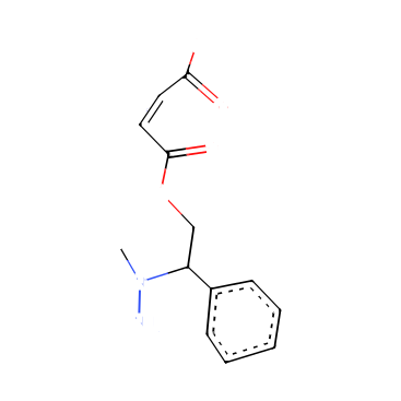 CN(N)C(COC(=O)/C=C\C(=O)O)c1ccccc1